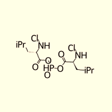 CC(C)C[C@H](NCl)C(=O)O[PH](=O)OC(=O)[C@H](CC(C)C)NCl